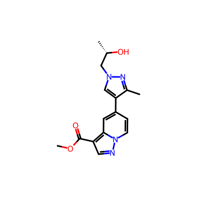 COC(=O)c1cnn2ccc(-c3cn(C[C@H](C)O)nc3C)cc12